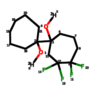 [2H]OC1(C2(O[2H])CCCC(F)(F)C(F)(F)C2)CCCCCC1